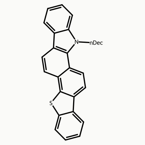 CCCCCCCCCCn1c2ccccc2c2ccc3c(ccc4c5ccccc5sc43)c21